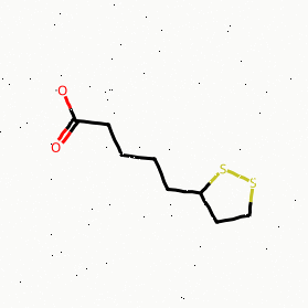 [O]C(=O)CCCCC1CCSS1